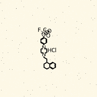 Cl.O=S(=O)(Oc1ccc(N2CCN(CCC3CCCc4ccccc43)CC2)cc1)C(F)(F)F